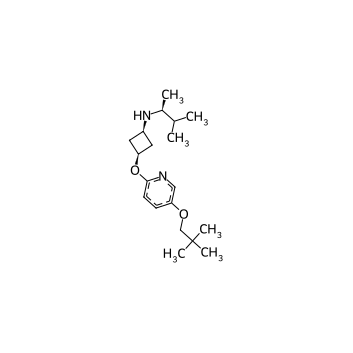 CC(C)[C@H](C)N[C@H]1C[C@@H](Oc2ccc(OCC(C)(C)C)cn2)C1